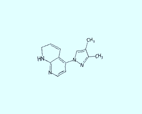 Cc1cn(-c2ccnc3c2C=CCN3)nc1C